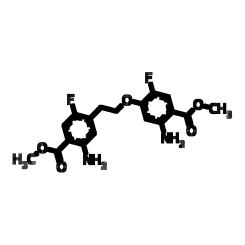 COC(=O)c1cc(F)c(CCOc2cc(N)c(C(=O)OC)cc2F)cc1N